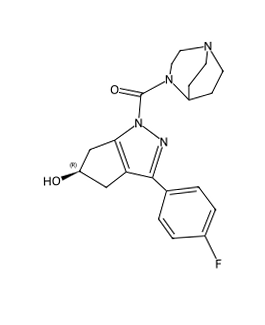 O=C(N1CCN2CCC1CC2)n1nc(-c2ccc(F)cc2)c2c1C[C@H](O)C2